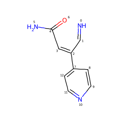 N=C/C(=C\C(N)=O)c1ccncc1